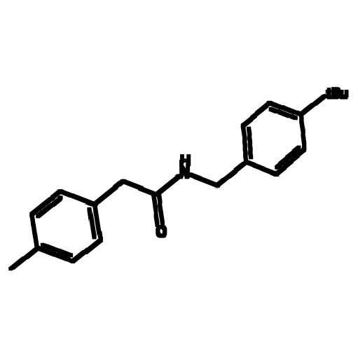 Cc1ccc(CC(=O)NCc2ccc(C(C)(C)C)cc2)cc1